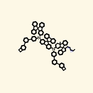 C/C=C\C=C/C1=Cc2ccccc2C12C1=CC(N(c3ccc(-c4cccc(-c5ccc6c(c5)CC6)c4)cc3)c3ccc4c(c3)C3(c5ccccc5-c5ccccc53)c3cc(N(c5ccc(-c6cccc(-c7ccc8c(c7)CC8)c6)cc5)c5ccc6c(c5)C5(c7ccccc7-c7ccccc75)c5ccccc5-6)ccc3-4)=CCC1(C)c1ccccc12